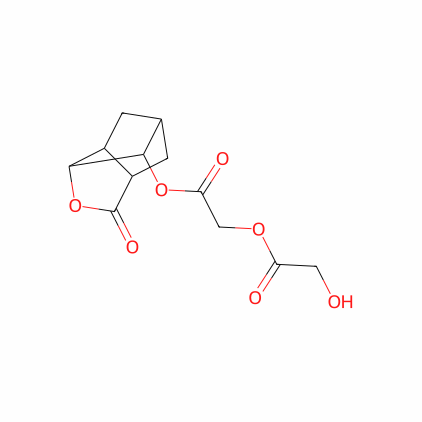 O=C(CO)OCC(=O)OC1C2CC3C(=O)OC1C3C2